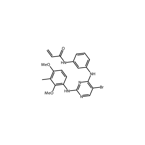 C=CC(=O)Nc1cccc(Nc2nc(Nc3ccc(OC)c(C)c3OC)ncc2Br)c1